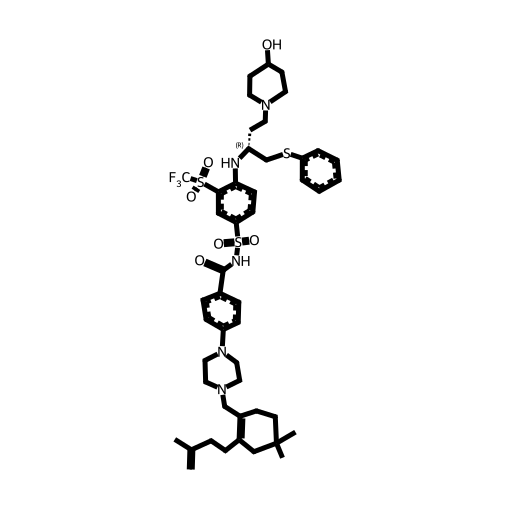 C=C(C)CCC1=C(CN2CCN(c3ccc(C(=O)NS(=O)(=O)c4ccc(N[C@H](CCN5CCC(O)CC5)CSc5ccccc5)c(S(=O)(=O)C(F)(F)F)c4)cc3)CC2)CCC(C)(C)C1